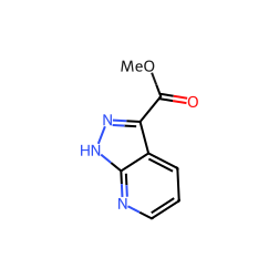 COC(=O)c1n[nH]c2ncccc12